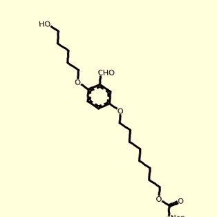 CCCCCCCCCC(=O)OCCCCCCCCOc1ccc(OCCCCCO)c(C=O)c1